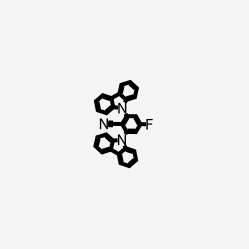 N#Cc1c(-n2c3ccccc3c3ccccc32)cc(F)cc1-n1c2ccccc2c2ccccc21